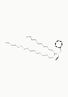 CCCCCCCCCCCCCCCN1C=CN(Cc2ccccc2)C1CCCCCCCCCC